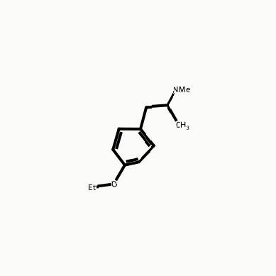 CCOc1ccc(CC(C)NC)cc1